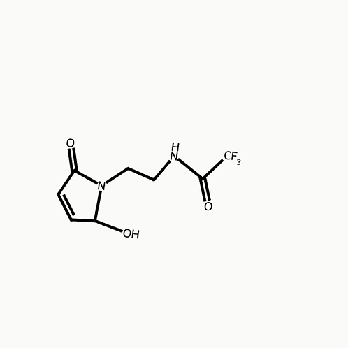 O=C1C=CC(O)N1CCNC(=O)C(F)(F)F